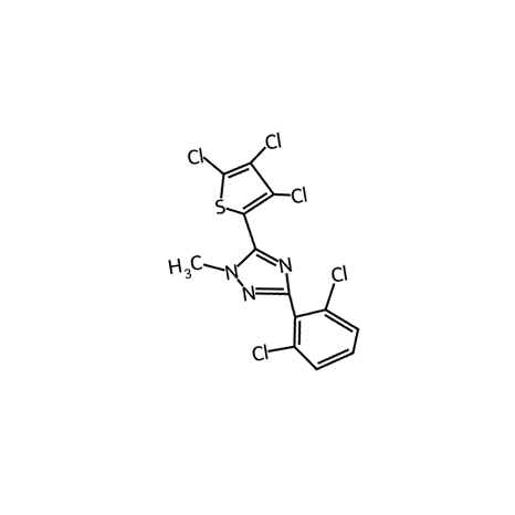 Cn1nc(-c2c(Cl)cccc2Cl)nc1-c1sc(Cl)c(Cl)c1Cl